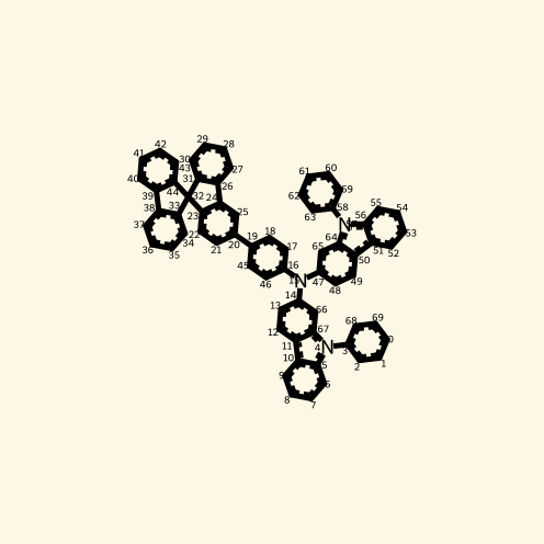 c1ccc(-n2c3ccccc3c3ccc(N(c4ccc(-c5ccc6c(c5)-c5ccccc5C65c6ccccc6-c6ccccc65)cc4)c4ccc5c6ccccc6n(-c6ccccc6)c5c4)cc32)cc1